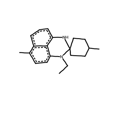 CCN1c2ccc(C)c3cccc(c23)NC12CCC(C)CC2